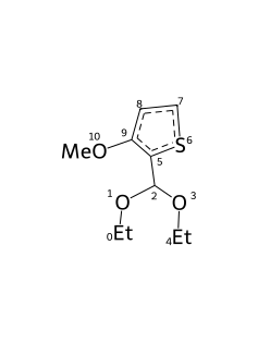 CCOC(OCC)c1sccc1OC